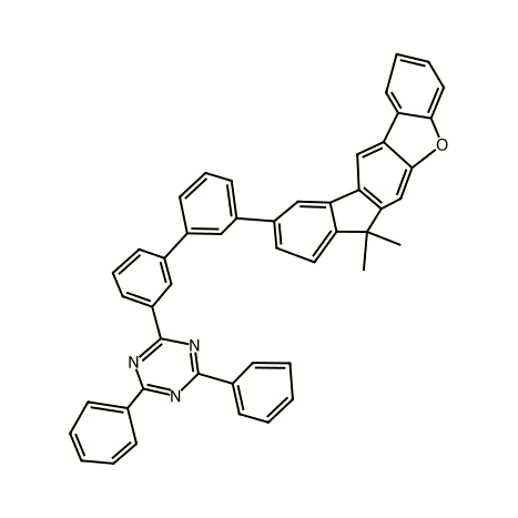 CC1(C)c2ccc(-c3cccc(-c4cccc(-c5nc(-c6ccccc6)nc(-c6ccccc6)n5)c4)c3)cc2-c2cc3c(cc21)oc1ccccc13